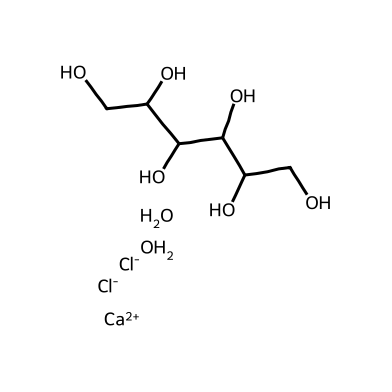 O.O.OCC(O)C(O)C(O)C(O)CO.[Ca+2].[Cl-].[Cl-]